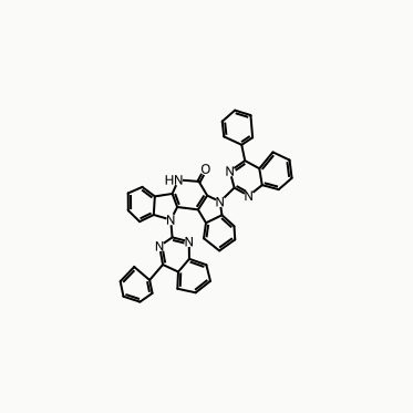 O=c1[nH]c2c3ccccc3n(-c3nc(-c4ccccc4)c4ccccc4n3)c2c2c3ccccc3n(-c3nc(-c4ccccc4)c4ccccc4n3)c12